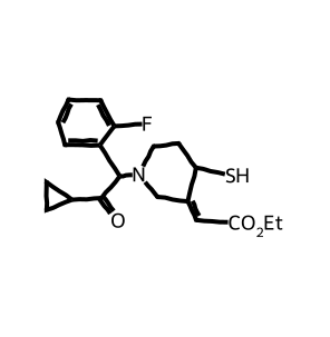 CCOC(=O)/C=C1/CN(C(C(=O)C2CC2)c2ccccc2F)CCC1S